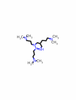 CN(C)CCCC1CNN(CCCN(C)C)N(CCCN(C)C)C1